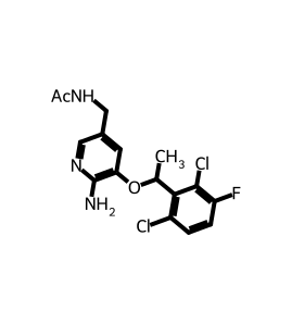 CC(=O)NCc1cnc(N)c(OC(C)c2c(Cl)ccc(F)c2Cl)c1